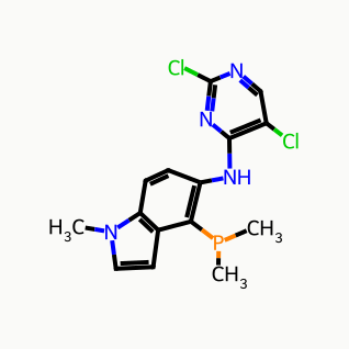 Cn1ccc2c(P(C)C)c(Nc3nc(Cl)ncc3Cl)ccc21